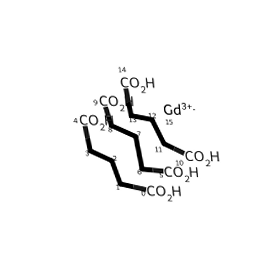 O=C(O)CCCC(=O)O.O=C(O)CCCC(=O)O.O=C(O)CCCC(=O)O.[Gd+3]